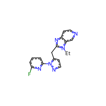 CCn1c(Cc2ccnn2-c2cccc(F)n2)nc2ccncc21